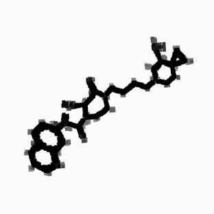 C[C@H]1C(=O)N(CCCCN2CCC3(CC3)[C@H](O)C2)CCN1C(=O)Nc1ccc2cccnc2c1